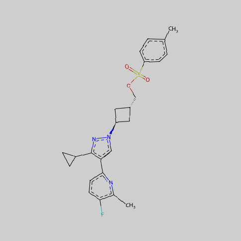 Cc1ccc(S(=O)(=O)OC[C@H]2C[C@H](n3cc(-c4ccc(F)c(C)n4)c(C4CC4)n3)C2)cc1